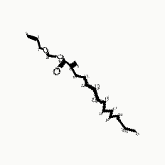 C=CCOCOC(=O)C(=C)CCCCCCCCCCCC